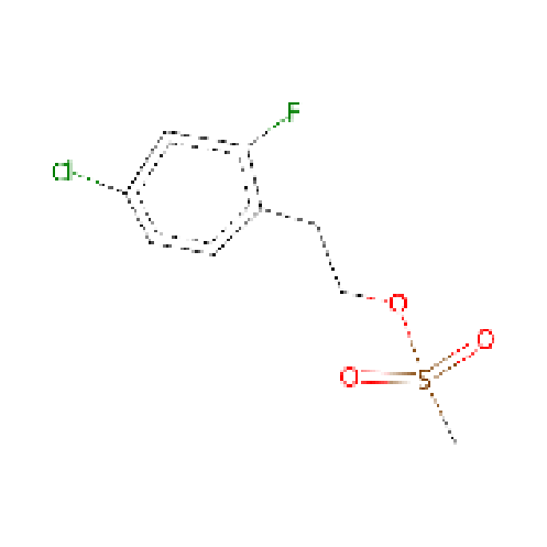 CS(=O)(=O)OCCc1ccc(Cl)cc1F